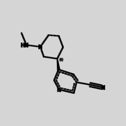 CNN1CCC[C@@H](c2cncc(C#N)c2)C1